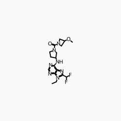 CCn1c(C(F)F)nc2c(NC3CCN(C(=O)N4CC(OC)C4)C3)ncnc21